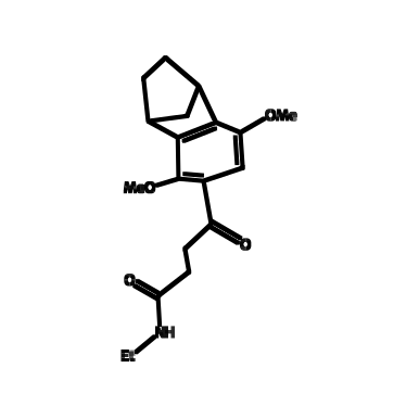 CCNC(=O)CCC(=O)c1cc(OC)c2c(c1OC)C1CCC2C1